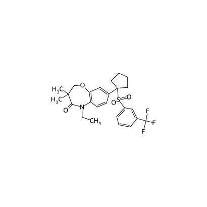 CCN1C(=O)C(C)(C)COc2cc(C3(S(=O)(=O)c4cccc(C(F)(F)F)c4)CCCC3)ccc21